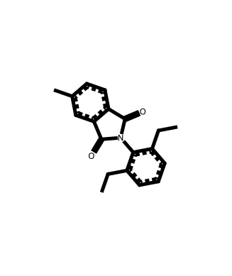 CCc1cccc(CC)c1N1C(=O)c2ccc(C)cc2C1=O